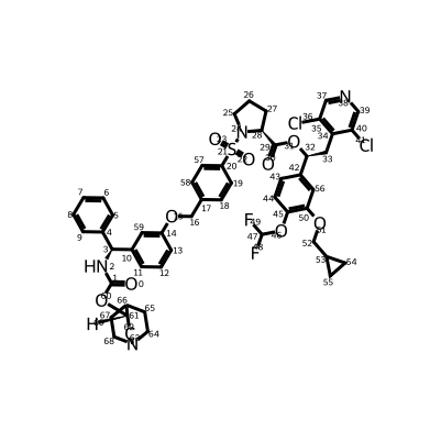 O=C(N[C@@H](c1ccccc1)c1cccc(OCc2ccc(S(=O)(=O)N3CCC[C@H]3C(=O)O[C@@H](Cc3c(Cl)cncc3Cl)c3ccc(OC(F)F)c(OCC4CC4)c3)cc2)c1)O[C@H]1CN2CCC1CC2